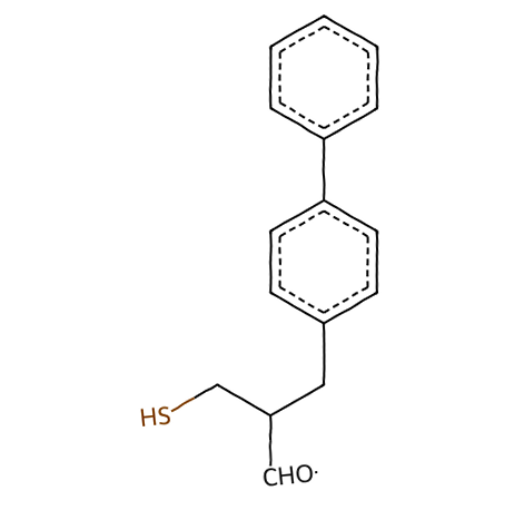 O=[C]C(CS)Cc1ccc(-c2ccccc2)cc1